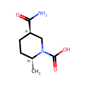 C[C@@H]1CC[C@@H](C(N)=O)CN1C(=O)O